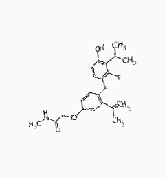 C=C(C)c1cc(OCC(=O)NC)ccc1Cc1ccc(O)c(C(C)C)c1F